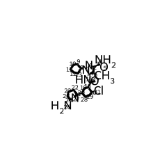 Cc1c(C(N)=O)nn(-c2ccccc2)c1NC(=O)c1cc(-c2cccc(N)n2)ccc1Cl